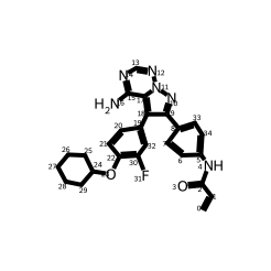 C=CC(=O)Nc1ccc(-c2nn3ncnc(N)c3c2-c2ccc(OC3CCCCC3)c(F)c2)cc1